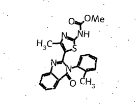 COC(=O)Nc1nc(C)c(-c2nc3ccccc3c(=O)n2-c2ccccc2C)s1